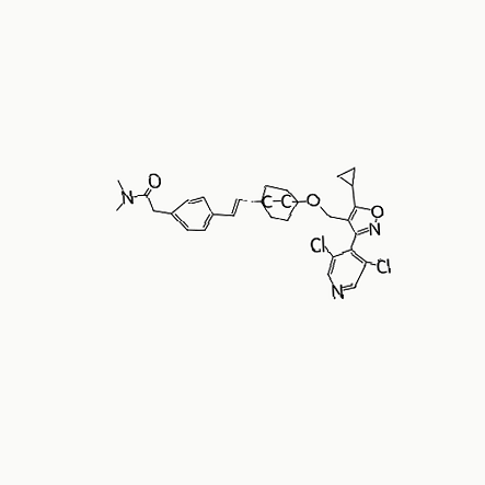 CN(C)C(=O)Cc1ccc(C=CC23CCC(OCc4c(-c5c(Cl)cncc5Cl)noc4C4CC4)(CC2)CC3)cc1